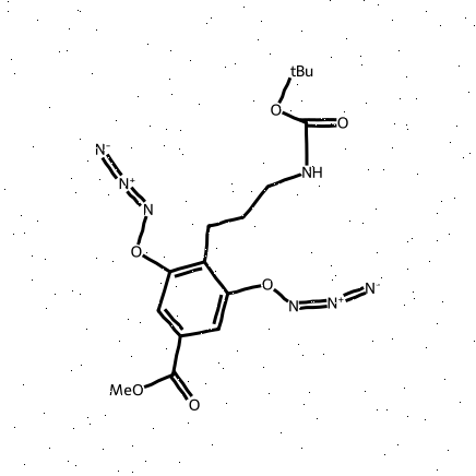 COC(=O)c1cc(ON=[N+]=[N-])c(CCCNC(=O)OC(C)(C)C)c(ON=[N+]=[N-])c1